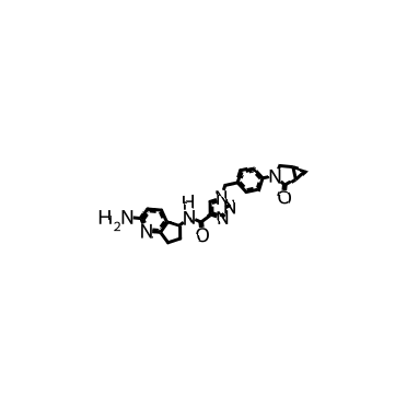 Nc1ccc2c(n1)CCC2NC(=O)c1cn(Cc2ccc(N3CC4CC4C3=O)cc2)nn1